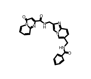 O=C(NCc1ccc2nc(CNC(=O)c3cc(=O)n4ccccc4n3)cn2c1)c1ccccc1